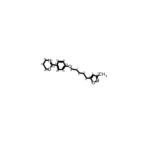 Cc1cc(CCCCCOc2ccc(C3=NCCCO3)cc2)on1